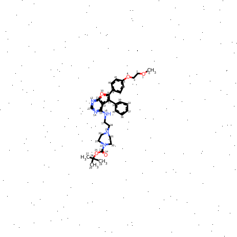 COCCOc1ccc(-c2oc3ncnc(NCCN4CCN(C(=O)OC(C)(C)C)CC4)c3c2-c2ccccc2)cc1